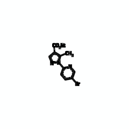 CCOC(=O)c1cnn(-c2ccc(Br)cn2)c1C